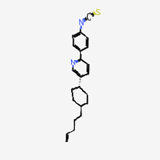 C=CCCC[C@H]1CC[C@H](c2ccc(-c3ccc(N=C=S)cc3)nc2)CC1